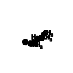 CCO[P@](C)(=O)Cc1ccc(C(=O)Nc2cc(-c3ccccc3)ccc2N)cc1